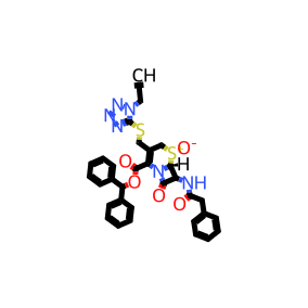 C#CCn1nnnc1SCC1=C(C(=O)OC(c2ccccc2)c2ccccc2)N2C(=O)C(NC(=O)Cc3ccccc3)[C@H]2[S+]([O-])C1